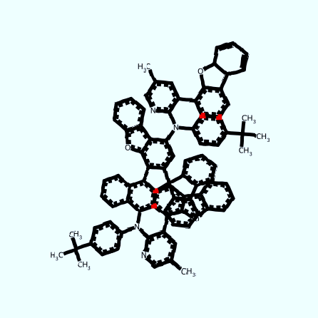 Cc1cnc(N(c2ccc(C(C)(C)C)cc2)c2cc3c(c4ccccc24)-c2c(cc(N(c4ccc(C(C)(C)C)cc4)c4ncc(C)cc4-c4cccc5c4OC4C=CC=CC54)c4c2oc2ccccc24)C32c3ccccc3-c3ccccc32)c(-c2cccc3c2oc2ccccc23)c1